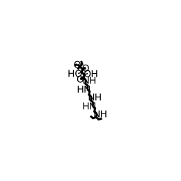 CCC(CC)NCCNCCNCCNCCNC(=O)[C@H](O)[C@@H](O)C(=O)C(C)(CC)OC